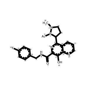 CC(=O)N1C(c2nc(C(=O)NCc3ccc(F)cc3)c(O)c3ncccc23)CCN1C